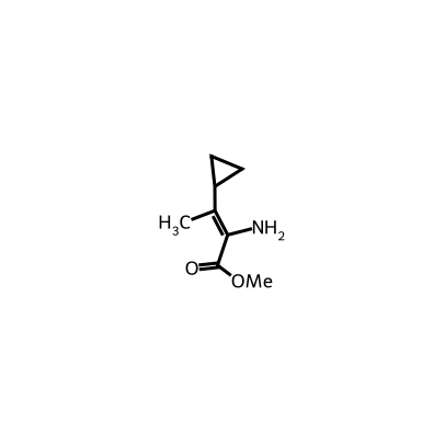 COC(=O)C(N)=C(C)C1CC1